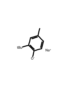 Cc1ccc([O-])c(C(C)(C)C)c1.[Na+]